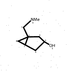 CNCC12CC(O)CC1C2